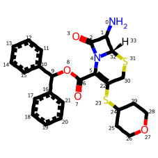 NC1C(=O)N2C(C(=O)OC(c3ccccc3)c3ccccc3)=C(SC3CCOCC3)CS[C@@H]12